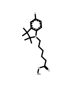 CC(C)(C)OC(=O)CCCCCN1c2ccc(I)cc2C(C)(C)C1(C)C